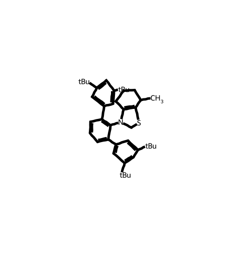 CC1CCCC2=C1SCN2c1c(-c2cc(C(C)(C)C)cc(C(C)(C)C)c2)cccc1-c1cc(C(C)(C)C)cc(C(C)(C)C)c1